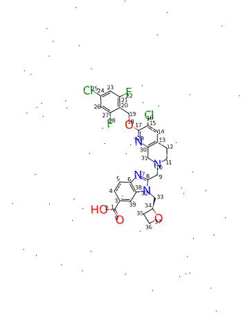 O=C(O)c1ccc2nc(CN3CCc4cc(Cl)c(OCc5c(F)cc(Cl)cc5F)nc4C3)n(C[C@@H]3CCO3)c2c1